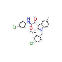 Cc1ccc2c(c1)c(C(=O)C(=O)Nc1ccc(Cl)cc1)c(C(F)(F)F)n2Cc1ccc(Cl)cc1